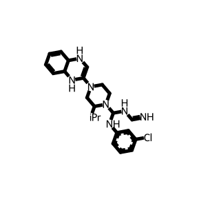 CC(C)C1CN(C2=CNC3C=CC=CC3N2)CCN1C(NC=N)Nc1cccc(Cl)c1